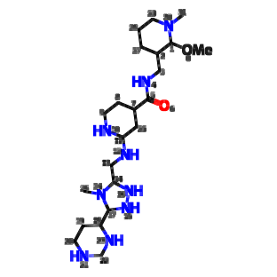 COC1C(CNC(=O)C2CCNC(NCC3NNC(C4CCNCN4)N3C)C2)CCCN1C